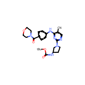 CC(C)(C)OC(=O)NC1CCN(c2ncc(C#N)c(Nc3ccc(C(=O)N4CCOCC4)cc3)n2)C1